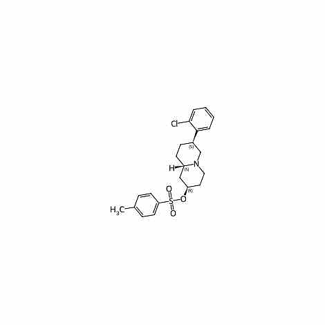 Cc1ccc(S(=O)(=O)O[C@@H]2CCN3C[C@H](c4ccccc4Cl)CC[C@H]3C2)cc1